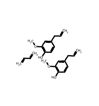 C=CC=C.C=CCc1ccc(O)c(OC)c1.C=CCc1ccc(O)c(OC)c1